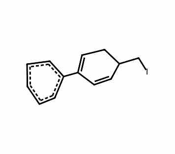 ICC1C=CC(c2ccccc2)=CC1